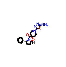 Nc1nnc(N2CCC3(CC2)O[C@@H]2CC[C@@H](c4ccccc4)N2C3=O)s1